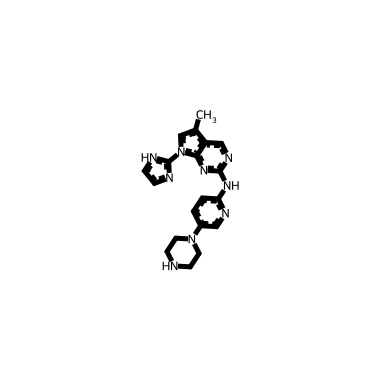 Cc1cn(-c2ncc[nH]2)c2nc(Nc3ccc(N4CCNCC4)cn3)ncc12